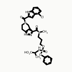 CC(NP(=O)(OCCCN(C)C(=O)c1n[nH]c2c1CN(C(=O)c1cc3c(Cl)cccc3[nH]1)CC2)Oc1ccccc1)C(=O)O